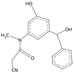 CN(C(=O)CC#N)c1cc(O)cc(C(O)c2ccccc2)c1